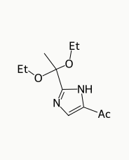 CCOC(C)(OCC)c1ncc(C(C)=O)[nH]1